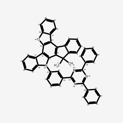 CC1(C)c2ccccc2-c2c1c1c(c3ccccc3n1-c1cccc(-c3nc(-c4ccccc4)nc(-c4ccccc4)n3)c1)c1oc3ccccc3c21